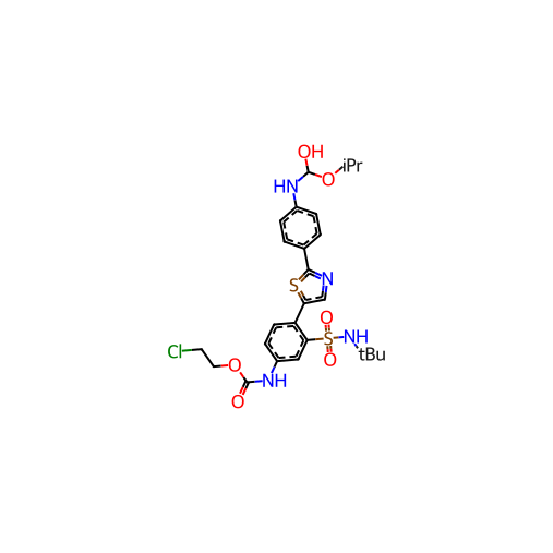 CC(C)OC(O)Nc1ccc(-c2ncc(-c3ccc(NC(=O)OCCCl)cc3S(=O)(=O)NC(C)(C)C)s2)cc1